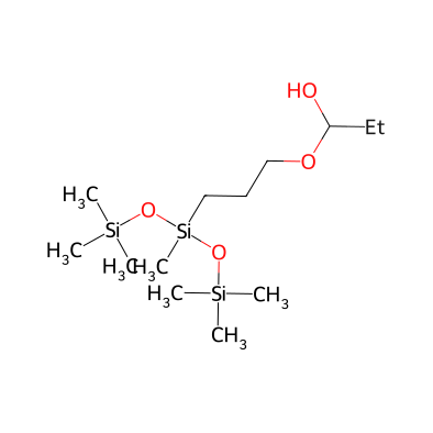 CCC(O)OCCC[Si](C)(O[Si](C)(C)C)O[Si](C)(C)C